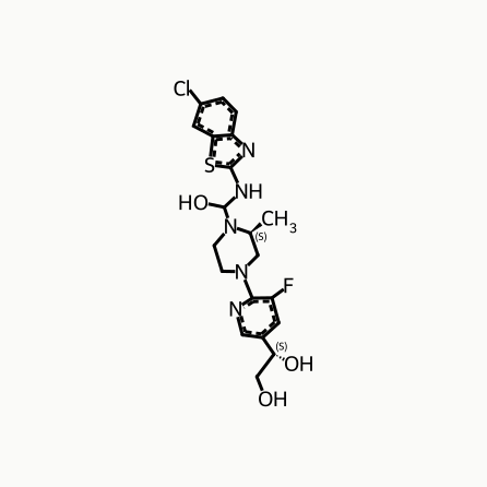 C[C@H]1CN(c2ncc([C@H](O)CO)cc2F)CCN1C(O)Nc1nc2ccc(Cl)cc2s1